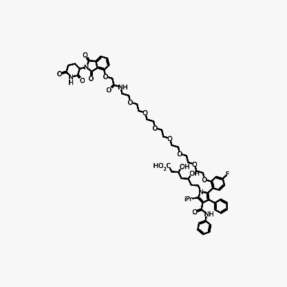 CC(C)c1c(C(=O)Nc2ccccc2)c(-c2ccccc2)c(-c2ccc(F)cc2OCCOCCOCCOCCOCCOCCOCCNC(=O)COc2cccc3c2C(=O)N(C2CCC(=O)NC2=O)C3=O)n1CCC(O)CC(O)CC(=O)O